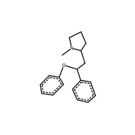 CN1CCCC1CC(Oc1ccccc1)c1ccccc1